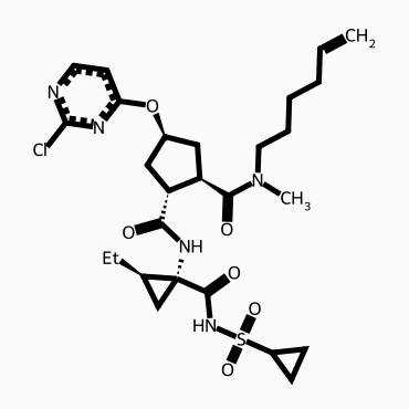 C=CCCCCN(C)C(=O)[C@@H]1C[C@H](Oc2ccnc(Cl)n2)C[C@H]1C(=O)N[C@]1(C(=O)NS(=O)(=O)C2CC2)C[C@H]1CC